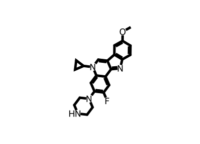 COc1ccc2nc3c4cc(F)c(N5CCNCC5)cc4n(C4CC4)cc-3c2c1